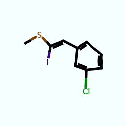 CS/C(I)=C/c1cccc(Cl)c1